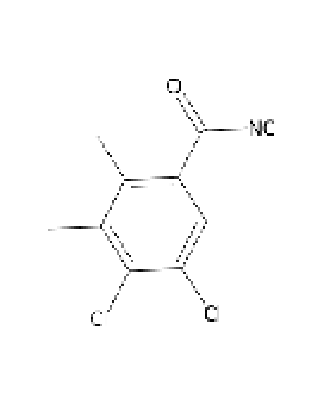 [C-]#[N+]C(=O)c1cc(Cl)c(Cl)c(C)c1C